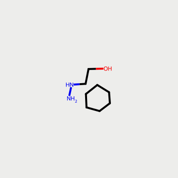 C1CCCCC1.NNCCO